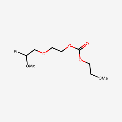 CCC(COCCOC(=O)OCCOC)OC